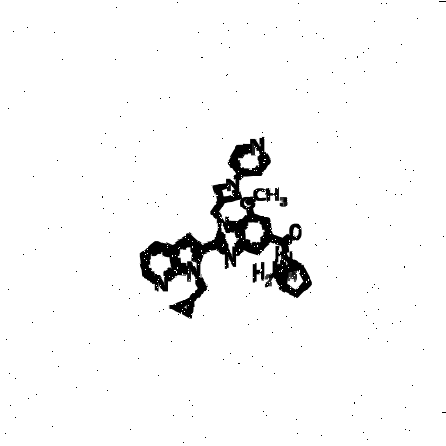 COc1cc(C(=O)N2CC3CCC2[C@@H]3N)cc2nc(-c3cc4cccnc4n3CC3CC3)n(CC3CN(c4ccncc4)C3)c12